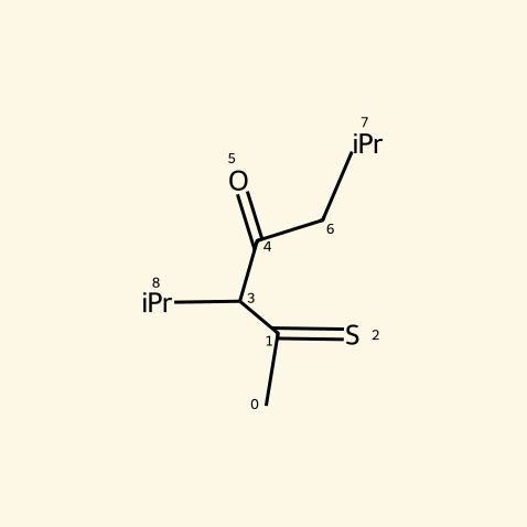 CC(=S)C(C(=O)CC(C)C)C(C)C